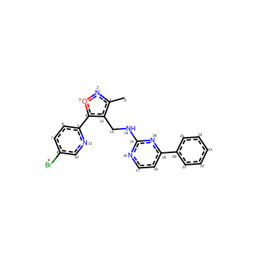 Cc1noc(-c2ccc(Br)cn2)c1CNc1nccc(-c2ccccc2)n1